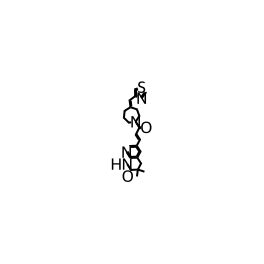 CC1(C)Cc2cc(/C=C/C(=O)N3CCC/C(=C/c4cscn4)CC3)cnc2NC1=O